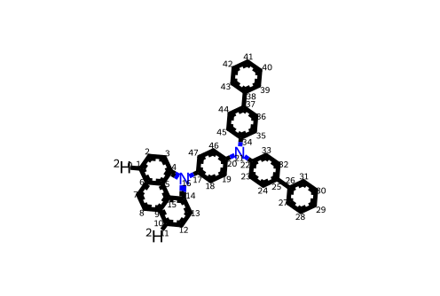 [2H]c1ccc2c3c1ccc1c([2H])ccc(c13)n2-c1ccc(N(c2ccc(-c3ccccc3)cc2)c2ccc(-c3ccccc3)cc2)cc1